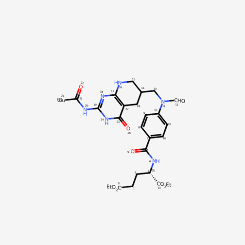 CCOC(=O)CC[C@H](NC(=O)c1ccc(N(C=O)CC2CNc3nc(NC(=O)C(C)(C)C)[nH]c(=O)c3C2)cc1)C(=O)OCC